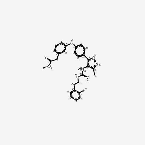 COC(=O)Cc1cccc(Oc2ccc(-c3onc(C)c3NC(=O)OCCc3ccccc3F)cc2)c1